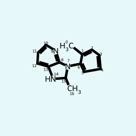 Cc1ccccc1N1c2ncccc2NC1C